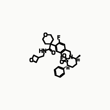 C[C@H]1CC[C@H](c2ccccc2)S(=O)(=O)N1Cc1cc(F)c(C2(C(=O)NCC3COC3)CCOCC2)cc1F